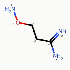 N=C(N)CCON